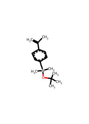 C=C(C)c1ccc([Si](C)(C)OC(C)(C)C)cc1